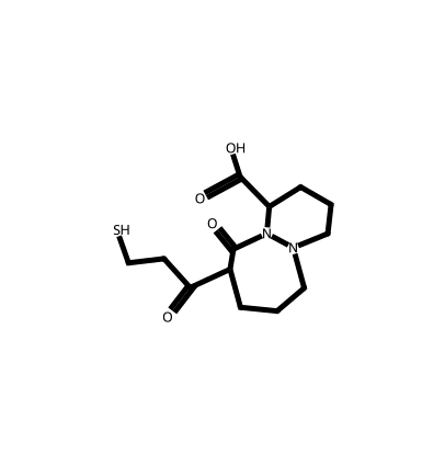 O=C(CCS)C1CCCN2CCCC(C(=O)O)N2C1=O